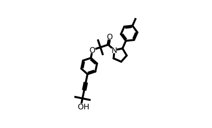 Cc1ccc(C2CCCN2C(=O)C(C)(C)Oc2ccc(C#CC(C)(C)O)cc2)cc1